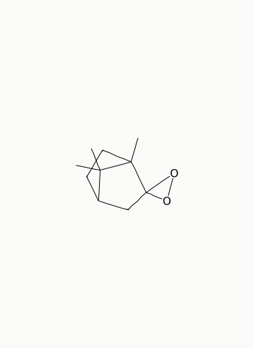 CC1(C)C2CCC1(C)C1(C2)OO1